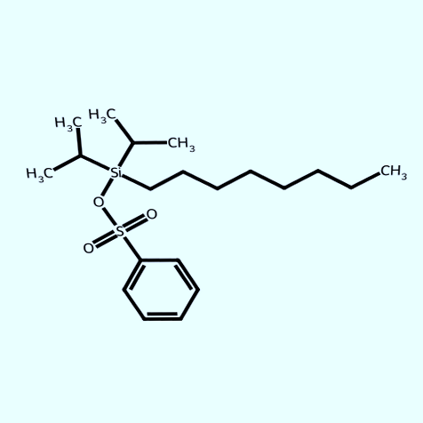 CCCCCCCC[Si](OS(=O)(=O)c1ccccc1)(C(C)C)C(C)C